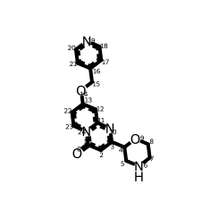 O=c1cc(C2CNCCO2)nc2cc(OCc3ccncc3)ccn12